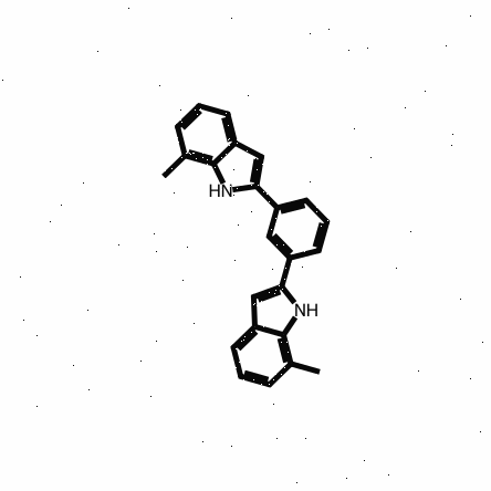 Cc1cccc2cc(-c3cccc(-c4cc5cccc(C)c5[nH]4)c3)[nH]c12